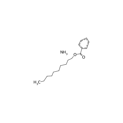 CCCCCCCCCCOC(=O)c1ccccc1.N